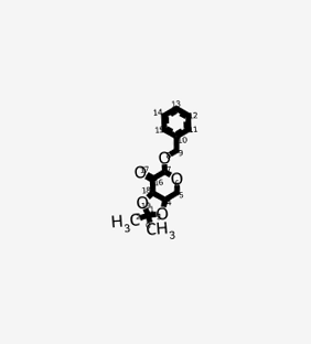 CC1(C)OC2COC(OCc3ccccc3)C(=O)C2O1